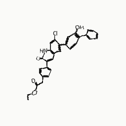 CCOC(=O)Cc1ccc(-c2cc3cc(-c4ccc(-c5ccccc5)c(O)c4)c(Cl)cc3[nH]c2=O)cc1